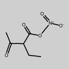 CCC(C(C)=O)C(=O)O[N+](=O)[O-]